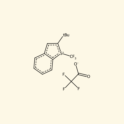 CC(C)(C)c1cc2ccccc2[s+]1C(F)(F)F.O=C([O-])C(F)(F)F